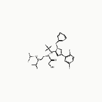 CC(I)N[C@@H](CCN(C(=O)CO)[C@@H](c1cc(-c2cc(F)ccc2F)cn1Cc1ccccc1)C(C)(C)C)C(C)C